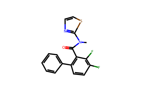 CN(C(=O)c1c(-c2ccccc2)ccc(F)c1F)c1nccs1